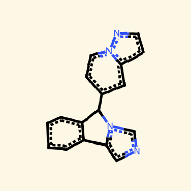 c1ccc2c(c1)-c1cncn1C2c1ccn2nccc2c1